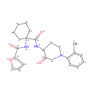 N#Cc1ccccc1N1CCC(NC(=O)C2(NC(=O)c3ccco3)CCCCC2)C(=O)C1